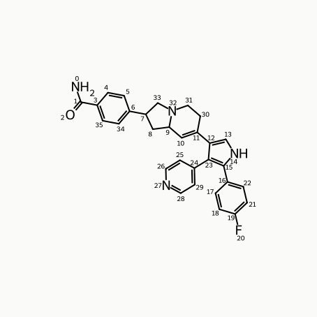 NC(=O)c1ccc(C2CC3C=C(c4c[nH]c(-c5ccc(F)cc5)c4-c4ccncc4)CCN3C2)cc1